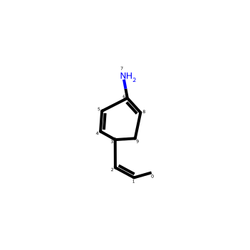 C/C=C\[C]1C=CC(N)=CC1